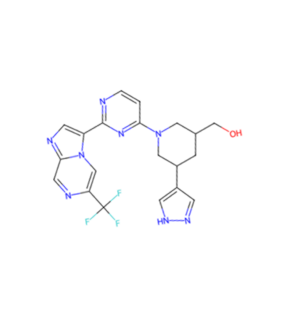 OCC1CC(c2cn[nH]c2)CN(c2ccnc(-c3cnc4cnc(C(F)(F)F)cn34)n2)C1